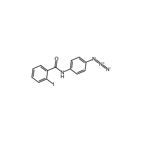 [N-]=[N+]=Nc1ccc(NC(=O)c2ccccc2I)cc1